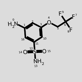 Nc1cc(OCC(F)(F)F)cc(S(N)(=O)=O)c1